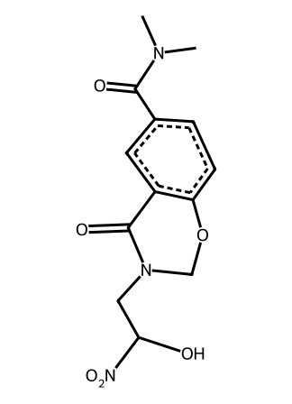 CN(C)C(=O)c1ccc2c(c1)C(=O)N(CC(O)[N+](=O)[O-])CO2